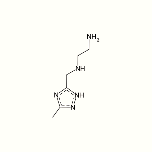 Cc1n[nH]c(CNCCN)n1